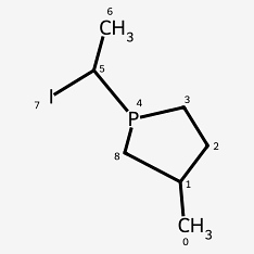 CC1CCP(C(C)I)C1